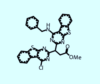 COC(=O)CC(c1nc(Cl)c2c(n1)sc1ccccc12)c1nc(NCc2ccccc2)c2c(n1)sc1ccccc12